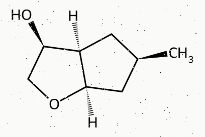 C[C@@H]1C[C@@H]2[C@H](O)CO[C@@H]2C1